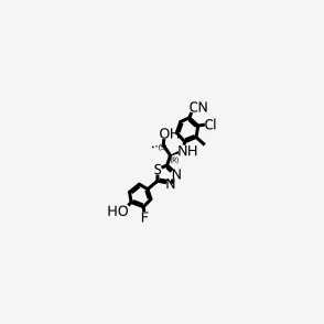 Cc1c(N[C@@H](c2nnc(-c3ccc(O)c(F)c3)s2)[C@H](C)O)ccc(C#N)c1Cl